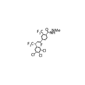 CNNC(=O)c1ccc(C(F)=CC(c2cc(Cl)c(Cl)c(Cl)c2)C(F)(F)F)cc1C(F)(F)F